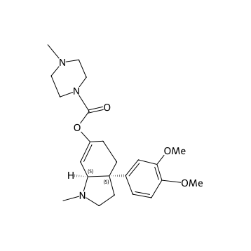 COc1ccc([C@@]23CCC(OC(=O)N4CCN(C)CC4)=C[C@@H]2N(C)CC3)cc1OC